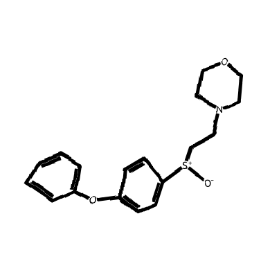 [O-][S+](CCN1CCOCC1)c1ccc(Oc2ccccc2)cc1